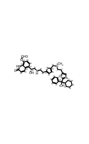 CN(CCc1cnc(C(O)(c2ccccc2)C2CCCCC2)o1)Cc1ccc(CCNC[C@H](O)c2ccc(OC=O)c3[nH]c(=O)ccc23)s1